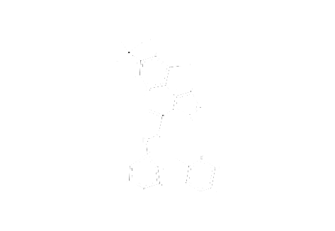 O=C(NNc1ccccc1Oc1ccccc1)c1cccn1-c1ncc(C(F)(F)F)cc1Cl